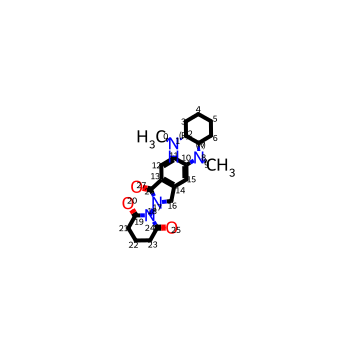 CN[C@@H]1CCCC[C@H]1N(C)c1ccc2c(c1)CN(N1C(=O)CCCC1=O)C2=O